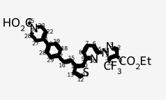 CCOC(=O)c1cnn(-c2cccc(-c3sccc3C=Cc3ccc(C4=CCN(C(=O)O)CC4)cc3)n2)c1C(F)(F)F